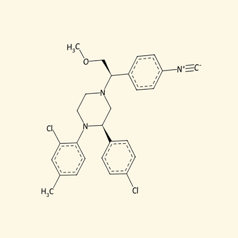 [C-]#[N+]c1ccc([C@H](COC)N2CCN(c3ccc(C)cc3Cl)[C@H](c3ccc(Cl)cc3)C2)cc1